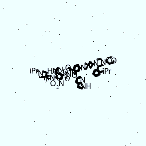 CC(C)c1ccccc1C1CN(C2CCOCC2)CCN1C1CC2(C1)CN(c1ccc(C(=O)NS(=O)(=O)c3cc([N+](=O)[O-])c(NCC4(F)CCN(C(C)C)CC4)c4[nH]cnc34)c(Oc3cnc4[nH]ccc4c3)c1)C2